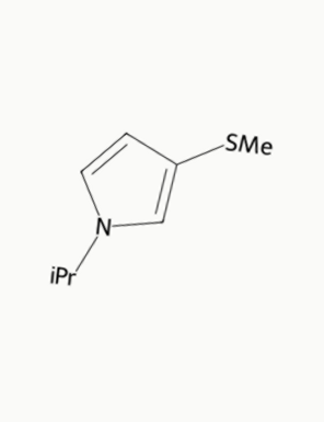 CSc1ccn(C(C)C)c1